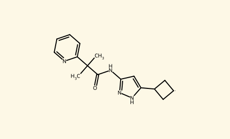 CC(C)(C(=O)Nc1cc(C2C[CH]C2)[nH]n1)c1ccccn1